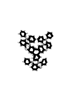 c1ccc(N2c3ccccc3B3c4cc5c(cc4Oc4cccc2c43)c2cc3c(cc2c2cc4c(cc25)B2c5ccccc5N(c5ccccc5)c5cccc(c52)O4)N(c2ccccc2)c2cccc4c2B3c2ccccc2O4)cc1